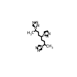 CC(CCC(CCC(C)n1cnnn1)n1ccnn1)n1cnnc1